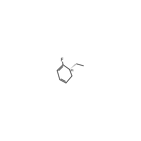 CC[C@@H]1CC=CC=C1F